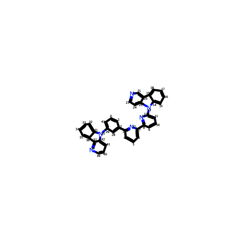 c1cc(-c2cccc(-c3cccc(-n4c5ccccc5c5cnccc54)n3)n2)cc(-n2c3ccccc3c3ncccc32)c1